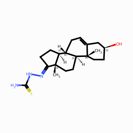 C[C@]12CC[C@H](O)CC1=CC[C@@H]1[C@@H]2CC[C@]2(C)C(=NNC(N)=S)CC[C@@H]12